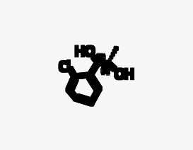 C[C@H](O)[C@H](O)c1ccccc1Cl